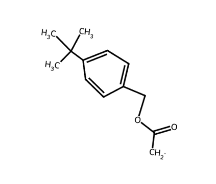 [CH2]C(=O)OCc1ccc(C(C)(C)C)cc1